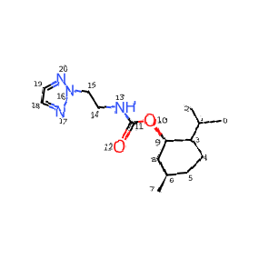 CC(C)C1CC[C@@H](C)C[C@H]1OC(=O)NCCn1nccn1